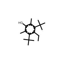 C[CH]c1c(C(C)(C)C)c(C)c(O)c(C)c1C(C)(C)C